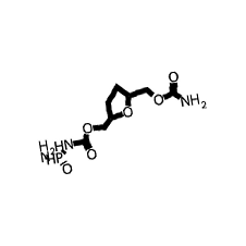 NC(=O)OCC1CCC(COC(=O)N[PH](N)=O)O1